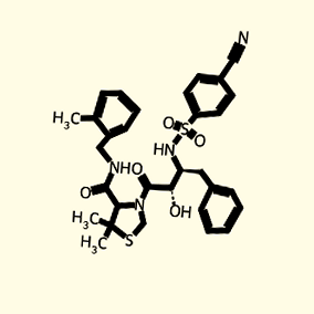 Cc1ccccc1CNC(=O)C1N(C(=O)[C@@H](O)[C@H](Cc2ccccc2)NS(=O)(=O)c2ccc(C#N)cc2)CSC1(C)C